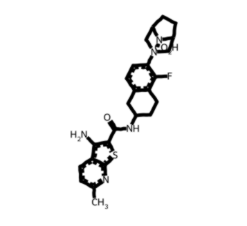 Cc1ccc2c(N)c(C(=O)NC3CCc4c(ccc(N5CC6CCC(C5)N6C(=O)O)c4F)C3)sc2n1